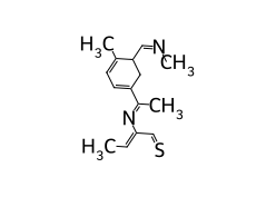 C/C=C(C=S)\N=C(/C)C1=CC=C(C)C(/C=N\C)C1